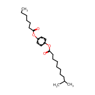 CCCCCCC(=O)Oc1ccc(OC(=O)CCCCCCCC(C)C)cc1